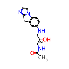 CC(=O)NC[C@@H](O)CNc1ccc2c(c1)Cc1nccn1-2